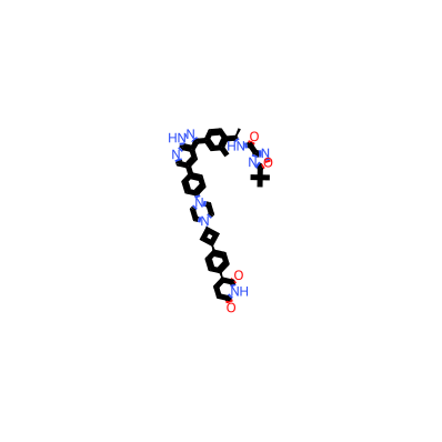 Cc1cc(-c2n[nH]c3ncc(-c4ccc(N5CCN([C@H]6C[C@H](c7ccc([C@@H]8CCC(=O)NC8=O)cc7)C6)CC5)cc4)cc23)ccc1[C@@H](C)NC(=O)c1noc(C(C)(C)C)n1